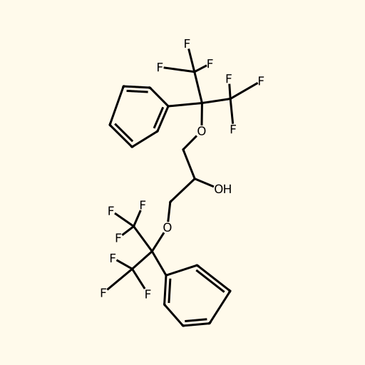 OC(COC(c1ccccc1)(C(F)(F)F)C(F)(F)F)COC(c1ccccc1)(C(F)(F)F)C(F)(F)F